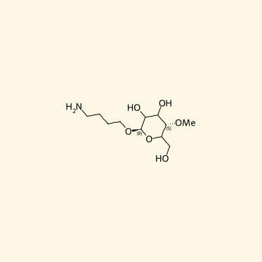 CO[C@@H]1C(CO)O[C@@H](OCCCCN)C(O)C1O